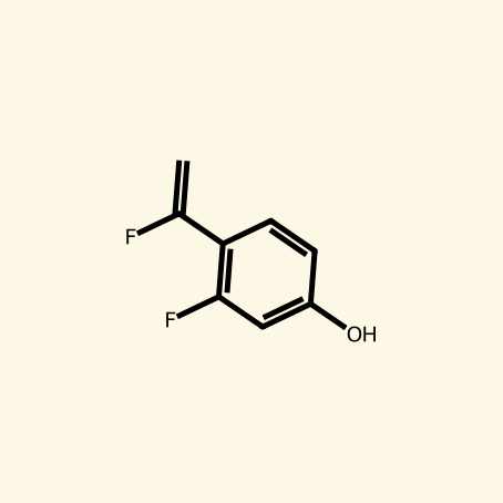 C=C(F)c1ccc(O)cc1F